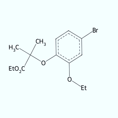 CCOC(=O)C(C)(C)Oc1ccc(Br)cc1OCC